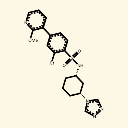 CCc1cc(-c2cccnc2OC)ccc1S(=O)(=O)N[C@H]1CCC[C@@H](n2cnnc2)C1